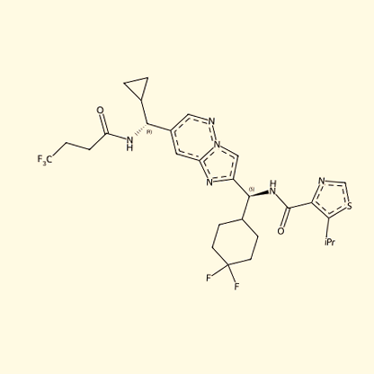 CC(C)c1scnc1C(=O)N[C@H](c1cn2ncc([C@H](NC(=O)CCC(F)(F)F)C3CC3)cc2n1)C1CCC(F)(F)CC1